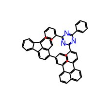 c1ccc(-c2nc(-c3ccccc3)nc(-c3ccc(-c4cccc5cccc(-c6cccc(-c7ccc8c9c(cccc79)-c7ccccc7-8)c6)c45)cc3)n2)cc1